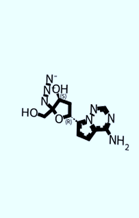 [N-]=[N+]=NC1(CO)O[C@@H](c2ccc3c(N)ncnn23)C[C@@H]1O